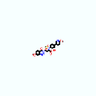 COc1ccc2c(=O)n(CCC(C(=O)O)N(c3ccc(-c4ccc(OC)nc4)cc3)S(C)(=O)=O)nnc2c1